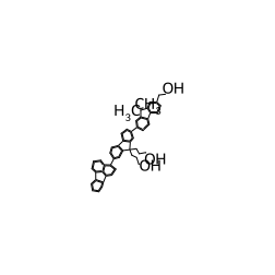 CC1(C)c2cc(CCO)ccc2-c2ccc(-c3ccc4c(c3)C(CCCO)(CCCO)c3cc(-c5ccc6c7c(cccc57)-c5ccccc5-6)ccc3-4)cc21